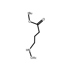 CC(=O)ONCCCC(=O)OC(C)(C)C